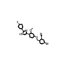 COc1cc(OCc2ccc(Br)cc2C#N)ccc1-c1c[nH]c(-c2ccc(F)cc2)n1